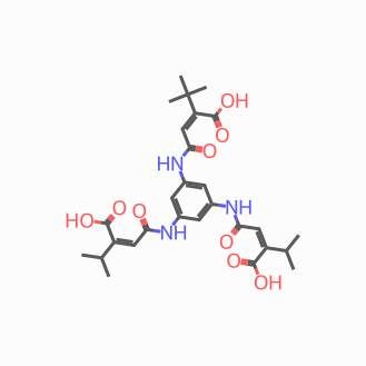 CC(C)/C(=C/C(=O)Nc1cc(NC(=O)/C=C(\C(=O)O)C(C)C)cc(NC(=O)/C=C(\C(=O)O)C(C)(C)C)c1)C(=O)O